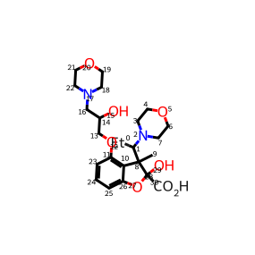 CCC(N1CCOCC1)C1(C)c2c(OCC(O)CN3CCOCC3)cccc2OC1(O)C(=O)O